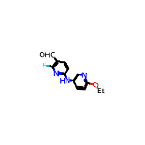 CCOc1ccc(Nc2ccc(C=O)c(F)n2)cn1